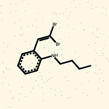 CCCCNc1ccccc1C=C(Br)Br